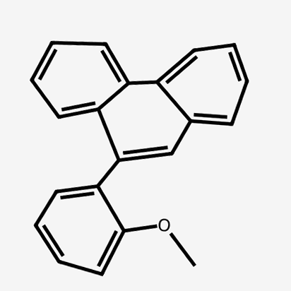 COc1ccccc1-c1cc2ccccc2c2ccccc12